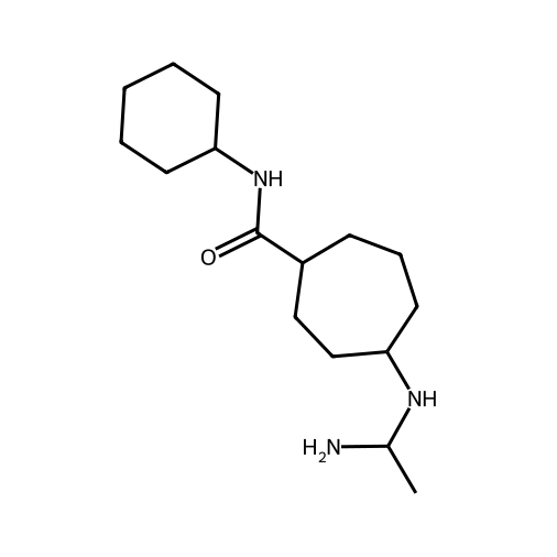 CC(N)NC1CCCC(C(=O)NC2CCCCC2)CC1